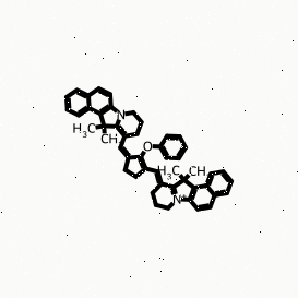 CC1(C)C2=C(/C=C3/CCC(/C=C4\CCC[N+]5=C4C(C)(C)c4c5ccc5ccccc45)=C3Oc3ccccc3)CCCN2c2ccc3ccccc3c21